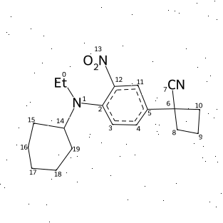 CCN(c1ccc(C2(C#N)CCC2)cc1[N+](=O)[O-])C1CCCCC1